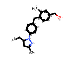 CC(=O)CC1CC(C#N)=NN1c1ccc(Cc2ccc(CO)cc2C)cc1